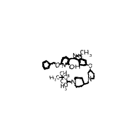 Cn1nc(-c2ccc(OCc3ccccc3)nc2O)c2ccc(O[C@@H]3CCN(CC4CCN(C(=O)OC(C)(C)C)CC4)C3)cc21